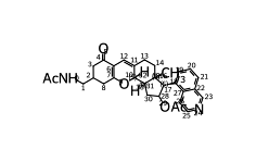 CC(=O)NCC1CC(=O)C2=C(C1)O[C@@H]1C(=C2)CC[C@]2(C)[C@@H](c3cccc4cnccc34)C(OC(C)=O)C[C@@H]12